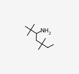 CCC(C)(C)CC(N)C(C)(C)C